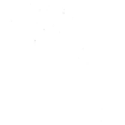 CCCc1ccccc1-c1cc2cc(OCCCCCCCCOC(=O)CC)cnc2oc1=O